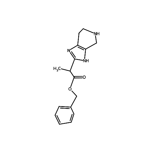 CC(C(=O)OCc1ccccc1)c1nc2c([nH]1)CNCC2